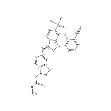 COC(=O)CC1COc2cc(O[C@@H]3CCc4c3ccc(C(F)(F)F)c4Cc3ccccc3C#N)ccc21